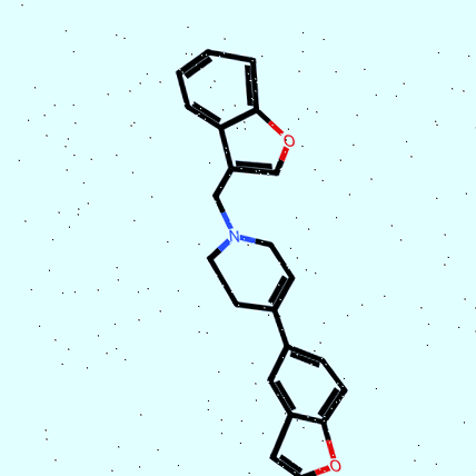 C1=C(c2ccc3occc3c2)CCN(Cc2coc3ccccc23)C1